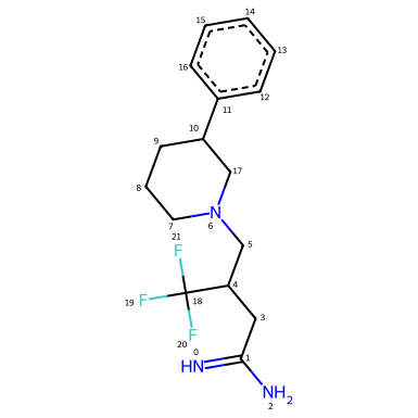 N=C(N)CC(CN1CCCC(c2ccccc2)C1)C(F)(F)F